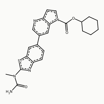 CN(C(N)=O)c1nc2ccc(-c3cnc4ccn(C(=O)OC5CCCCC5)c4c3)cc2s1